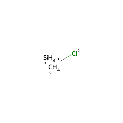 C.CCl.[SiH4]